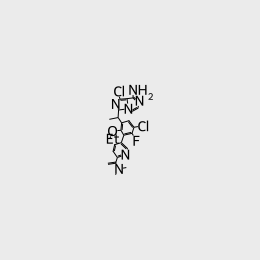 C=C(c1ccc(-c2c(F)c(Cl)cc(C(C)c3nc(Cl)c4c(N)nccn34)c2OCC)cn1)N(C)C